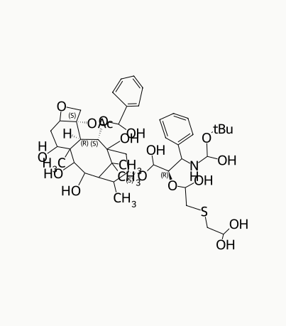 CC(=O)O[C@@]12COC1CC(O)C1(C)C(O)C(O)C3C(C)[C@@H](OC(O)[C@H](OC(O)CSCC(O)O)C(NC(O)OC(C)(C)C)c4ccccc4)CC(O)([C@@H](OC(O)c4ccccc4)[C@@H]12)C3(C)C